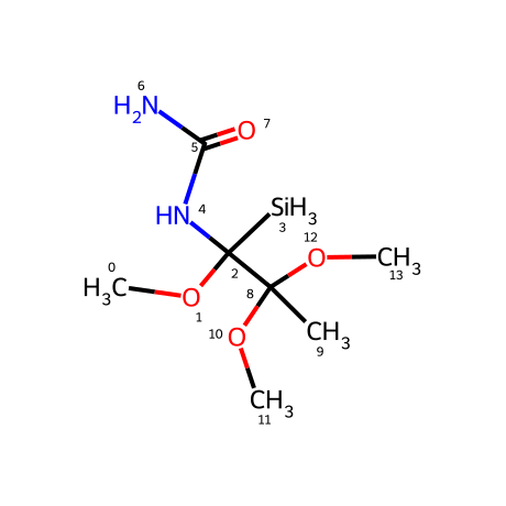 COC([SiH3])(NC(N)=O)C(C)(OC)OC